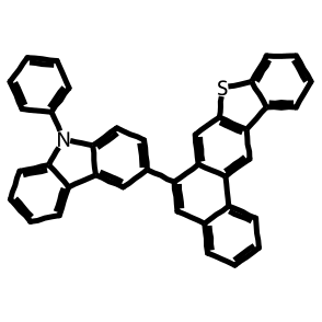 c1ccc(-n2c3ccccc3c3cc(-c4cc5ccccc5c5cc6c(cc45)sc4ccccc46)ccc32)cc1